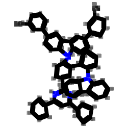 N#Cc1cccc(-c2ccc3c(c2)c2cc(-c4cccc(C#N)c4)ccc2n3-c2ccc(-c3nc(-c4ccccc4)cc(-c4ccccc4)n3)cc2-c2ccccc2-n2c3ccccc3c3ccccc32)c1